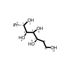 CC(C)[C@H](O)[C@H](O)C(O)[C@H](O)CCO